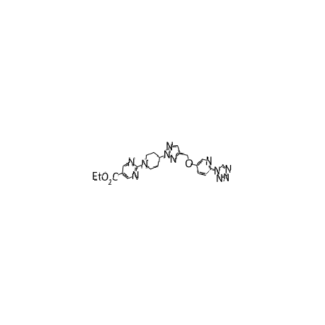 CCOC(=O)c1cnc(N2CCC(n3ncc(COc4ccc(-n5cnnn5)nc4)n3)CC2)nc1